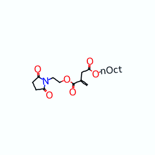 C=C(CC(=O)OCCCCCCCC)C(=O)OCCN1C(=O)CCC1=O